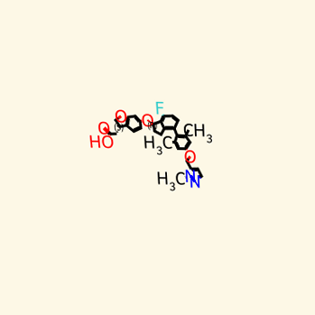 Cc1cc(OCc2ccnn2C)cc(C)c1-c1ccc(F)c2c1CC[C@H]2Oc1ccc2c(c1)OC[C@H]2CC(=O)O